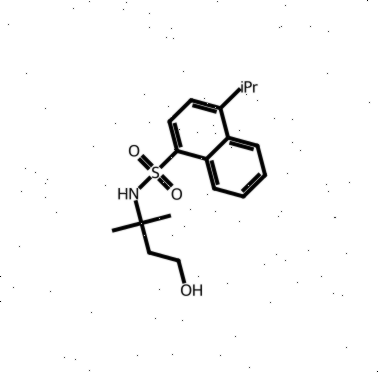 CC(C)c1ccc(S(=O)(=O)NC(C)(C)CCO)c2ccccc12